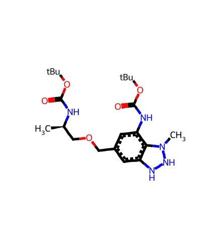 C[C@H](COCc1cc2c(c(NC(=O)OC(C)(C)C)c1)N(C)NN2)NC(=O)OC(C)(C)C